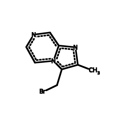 Cc1nc2cnccn2c1CBr